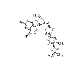 [2H]c1ccc2c(N3C[C@H](CN4CCN(c5ccc(N6CC(C)(N)C6)c(C)n5)CC4)O[C@H](C)C3)ccc(C#N)c2n1